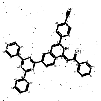 N#Cc1ccc(C2=Cc3cc(-c4nc(-c5ccccc5)nc(-c5ccccc5)n4)ccc3/C(=C/C(=N)c3ccccc3)N2)cc1